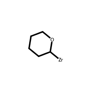 [Zr][CH]1CCCCO1